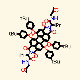 CC(C)C(C(=O)NCC1CO1)N1C(=O)c2cc(Oc3ccc(C(C)(C)C)cc3)c3c4c(Oc5ccc(C(C)(C)C)cc5)cc5c6c(cc(Oc7ccc(C(C)(C)C)cc7)c(c7c(Oc8ccc(C(C)(C)C)cc8)cc(c2c37)C1=O)c64)C(=O)N(C(C(=O)NCC1CO1)C(C)C)C5=O